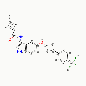 CC12CC(C(=O)Nc3c[nH]c4ccc(O[C@H]5C[C@H](c6ccc(C(F)(F)F)cc6)C5)cc34)(C1)C2